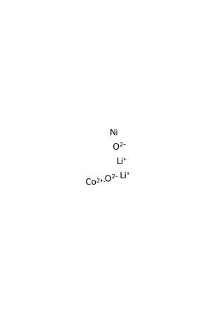 [Co+2].[Li+].[Li+].[Ni].[O-2].[O-2]